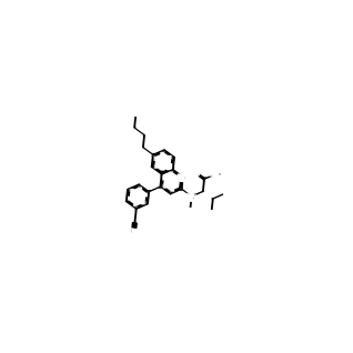 CCCCc1ccc2nc(N(C)[C@H](C(=O)O)C(C)C)cc(-c3cccc(C#N)c3)c2c1